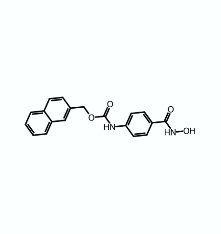 O=C(Nc1ccc(C(=O)NO)cc1)OCc1ccc2ccccc2c1